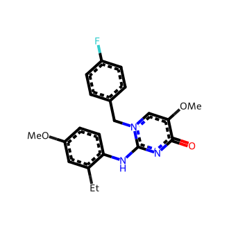 CCc1cc(OC)ccc1Nc1nc(=O)c(OC)cn1Cc1ccc(F)cc1